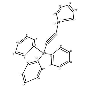 C(#C[B-](c1ccccc1)(c1ccccc1)c1ccccc1)[n+]1ccccc1